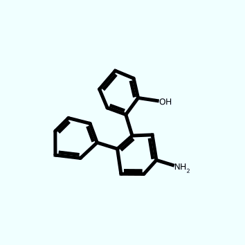 Nc1ccc(-c2ccccc2)c(-c2ccccc2O)c1